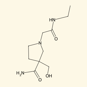 CCNC(=O)CN1CCC(CO)(C(N)=O)C1